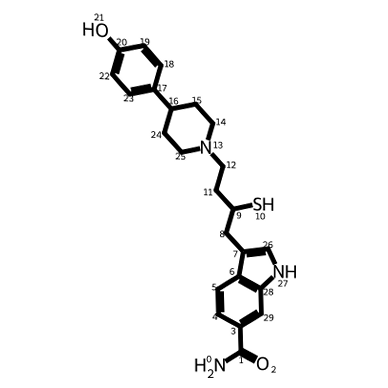 NC(=O)c1ccc2c(CC(S)CCN3CCC(c4ccc(O)cc4)CC3)c[nH]c2c1